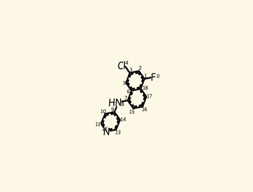 Fc1cc(Cl)cc2c(Nc3ccncc3)cccc12